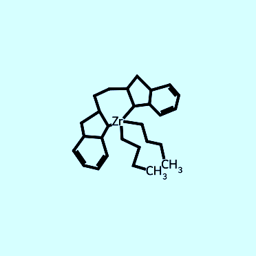 CCC[CH2][Zr]1([CH2]CCC)[CH]2C(CCC3CC4C=CC=CC4[CH]31)CC1C=CC=CC12